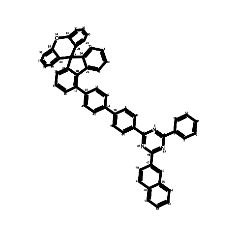 c1ccc(-c2nc(-c3ccc(-c4ccc(-c5cccc6c5-c5ccccc5C65c6ccccc6Oc6ccccc65)cc4)cc3)nc(-c3ccc4ccccc4c3)n2)cc1